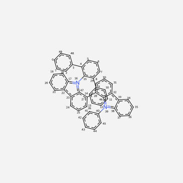 c1ccc(-c2cccc(-c3ccccc3)c2-n2c3ccccc3c3cccc(-c4cccc5c6ccccc6n(-c6ccccc6)c45)c32)cc1